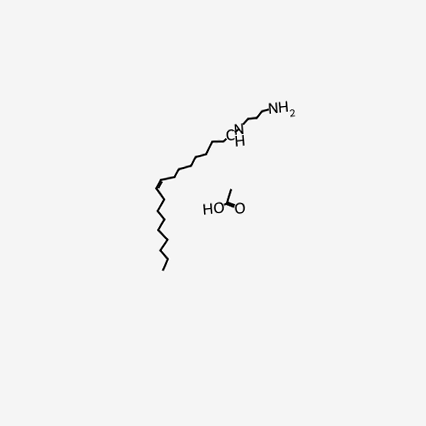 CC(=O)O.CCCCCCCC/C=C\CCCCCCCCNCCCN